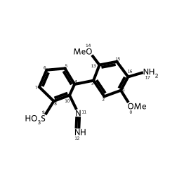 COc1cc(-c2cccc(S(=O)(=O)O)c2N=N)c(OC)cc1N